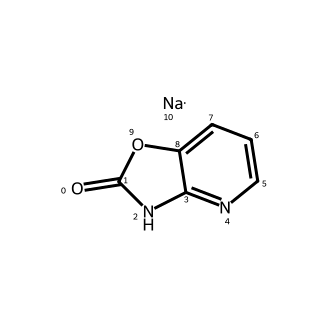 O=c1[nH]c2ncccc2o1.[Na]